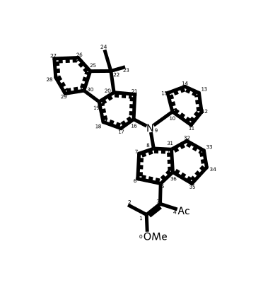 CO/C(C)=C(\C(C)=O)c1ccc(N(c2ccccc2)c2ccc3c(c2)C(C)(C)c2ccccc2-3)c2ccccc12